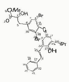 COC(=O)C(O)Cc1cc(Br)c(Oc2cc(C=Cc3ccccc3)c(O)c(C(C)C)c2)c(Br)c1